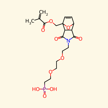 C=C(C)C(=O)OCC12C=CC(O1)C1C(=O)N(CCOCCOCCP(=O)(O)O)C(=O)C12